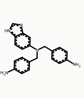 Nc1ccc(CN(Cc2ccc(N)cc2)c2ccc3[nH]cnc3c2)cc1